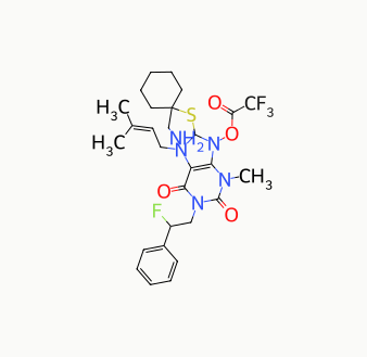 CC(C)=CCN1c2c(n(C)c(=O)n(CC(F)c3ccccc3)c2=O)N(OC(=O)C(F)(F)F)C1SC1(CN)CCCCC1